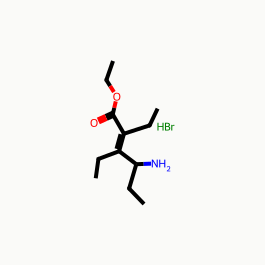 Br.CCOC(=O)/C(CC)=C(\CC)C(N)CC